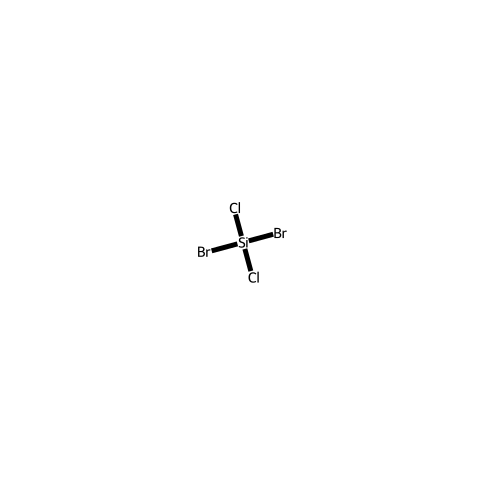 Cl[Si](Cl)(Br)Br